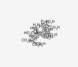 N[C@@H](Cc1c[nH]c2ccccc12)C(=O)N[C@@H](CC(=O)O)C(=O)N[C@@H](CC(=O)O)C(=O)N[C@@H](CC(=O)O)C(=O)N[C@@H](CC(=O)O)C(=O)N[C@@H](CC(=O)O)C(=O)N[C@@H](CC(=O)O)C(=O)N[C@@H](CC(=O)O)C(=O)N[C@@H](CC(=O)O)C(=O)O